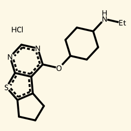 CCNC1CCC(Oc2ncnc3sc4c(c23)CCC4)CC1.Cl